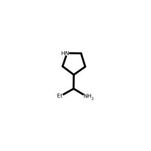 CCC(N)C1CCNC1